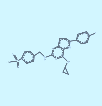 NS(=O)(=O)c1ccc(CNc2nc(NC3CC3)c3nc(-c4ccc(F)cc4)ccc3n2)cc1